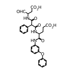 O=CC(CC(=O)O)NC(=O)C(C(=O)NC(CCC(=O)O)C(=O)Nc1cccc(Oc2ccccc2)c1)c1ccccc1